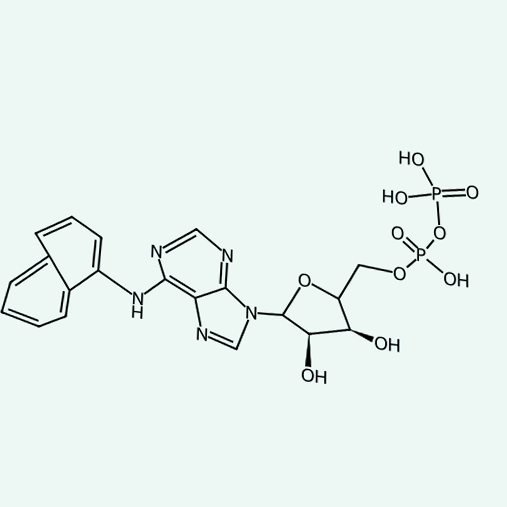 O=P(O)(O)OP(=O)(O)OCC1OC(n2cnc3c(Nc4cccc5ccccc45)ncnc32)[C@H](O)[C@@H]1O